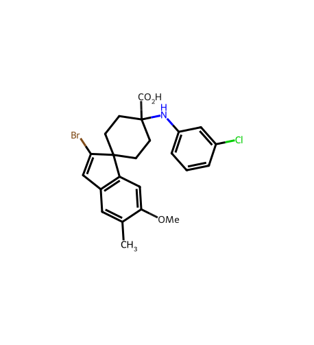 COc1cc2c(cc1C)C=C(Br)C21CCC(Nc2cccc(Cl)c2)(C(=O)O)CC1